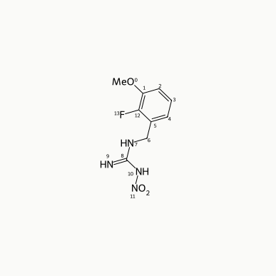 COc1cccc(CNC(=N)N[N+](=O)[O-])c1F